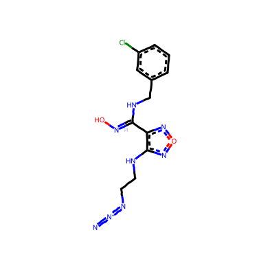 [N-]=[N+]=NCCNc1nonc1/C(=N/O)NCc1cccc(Cl)c1